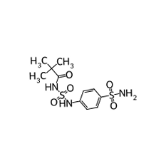 CC(C)(C)C(=O)NS(=O)(=O)Nc1ccc(S(N)(=O)=O)cc1